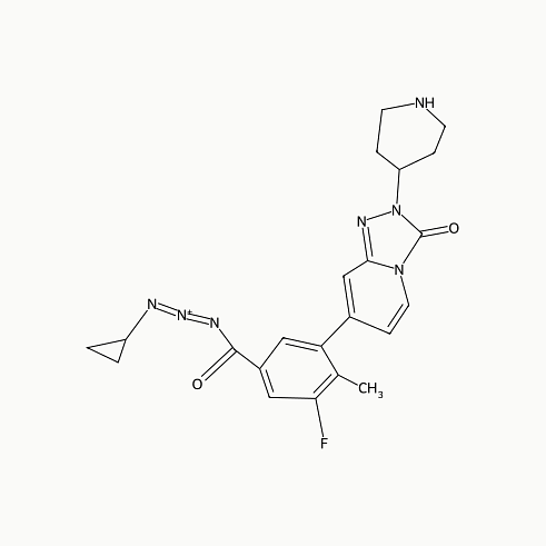 Cc1c(F)cc(C(=O)N=[N+]=NC2CC2)cc1-c1ccn2c(=O)n(C3CCNCC3)nc2c1